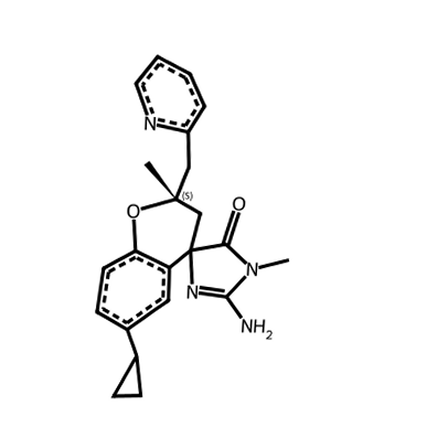 CN1C(=O)C2(C[C@@](C)(Cc3ccccn3)Oc3ccc(C4CC4)cc32)N=C1N